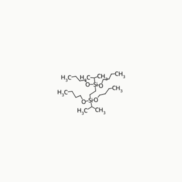 CCCCO[Si](CC[Si](OCCCC)(OCCCC)C(C)C)(OCCCC)C(C)C